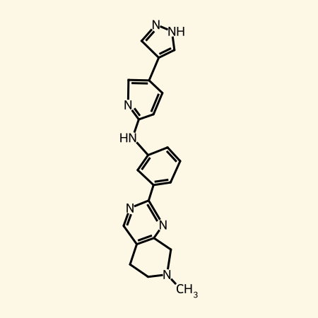 CN1CCc2cnc(-c3cccc(Nc4ccc(-c5cn[nH]c5)cn4)c3)nc2C1